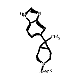 CCCCCCN1CC2C(C1)C2(C)c1ccc2[nH]cnc2c1